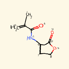 C=C(C)C(=O)NC1CCOC1=O